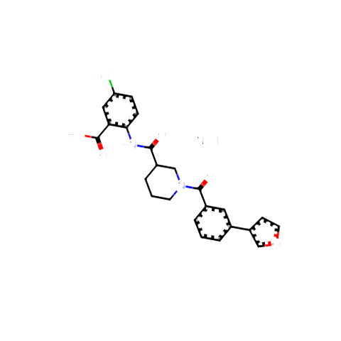 O=C(O)c1cc(Cl)ccc1NC(=O)C1CCCN(C(=O)c2cccc(-c3ccoc3)c2)C1.[NaH]